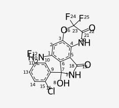 Nc1cc2c(c3c1C(O)(c1cc(F)ccc1Cl)NC3=O)NC(=O)C(F)(F)O2